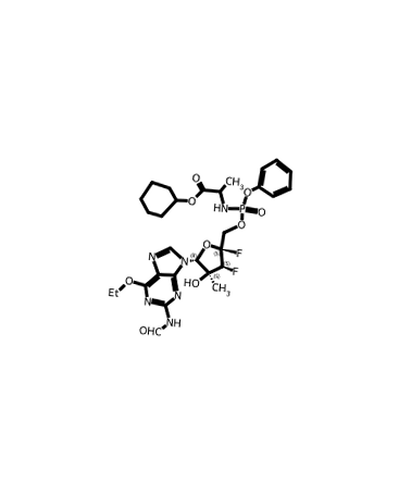 CCOc1nc(NC=O)nc2c1ncn2[C@@H]1O[C@](F)(COP(=O)(NC(C)C(=O)OC2CCCCC2)Oc2ccccc2)[C@@H](F)[C@@]1(C)O